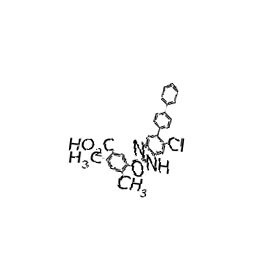 Cc1cc(C)c(C(=O)O)cc1Oc1nc2cc(-c3ccc(-c4ccccc4)cc3)c(Cl)cc2[nH]1